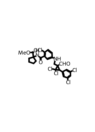 COC(=O)C1(NC(=O)c2cc(NCC3(C=O)C(c4cc(Cl)cc(Cl)c4)C3(Cl)Cl)ccc2Cl)CCCC1